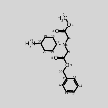 COC(=O)CN(CC(=O)OCc1ccccc1)[C@H]1CC[C@H](N)CC1